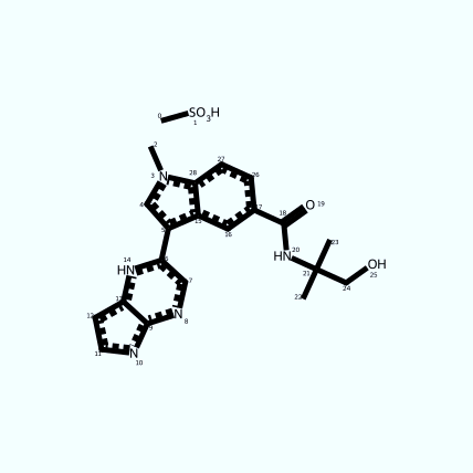 CS(=O)(=O)O.Cn1cc(-c2cnc3nccc-3[nH]2)c2cc(C(=O)NC(C)(C)CO)ccc21